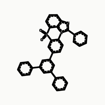 O=S1(=O)c2cc(-c3cc(-c4ccccc4)cc(-c4ccccc4)c3)ccc2-n2c(-c3ccccc3)nc3cccc1c32